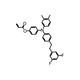 C=CC(=O)Oc1ccc(N(c2ccc(CCc3cc(F)cc(F)c3)cc2)c2ccc(C)c(C)c2)cc1